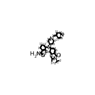 CC(C)N(C(=O)c1ccc(N(c2cccc(C(N)=O)c2F)C2CCN(Cc3ccncc3)CC2)cc1)C(C)C